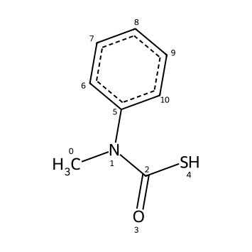 CN(C(=O)S)c1ccccc1